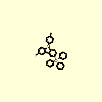 Cc1ccc(-n2c3ccc(I)cc3c3cc([Si](c4ccccc4)(c4ccccc4)c4ccccc4)ccc32)cc1